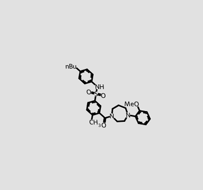 CCCCc1ccc(NS(=O)(=O)c2ccc(C)c(C(=O)N3CCCN(c4ccccc4OC)CC3)c2)cc1